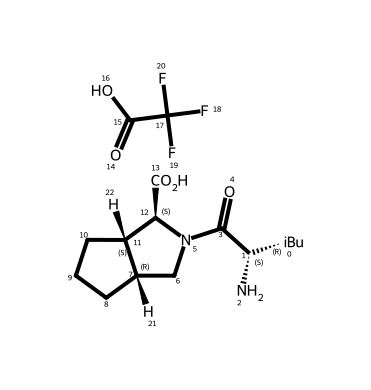 CC[C@@H](C)[C@H](N)C(=O)N1C[C@@H]2CCC[C@@H]2[C@H]1C(=O)O.O=C(O)C(F)(F)F